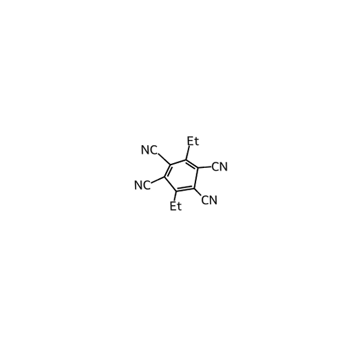 CCc1c(C#N)c(C#N)c(CC)c(C#N)c1C#N